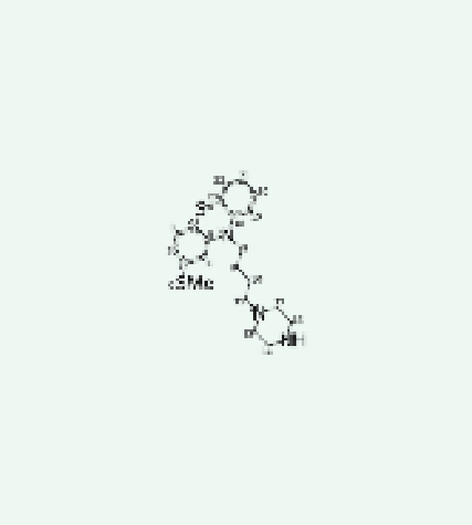 CSc1ccc2c(c1)N(CCCCN1CCNCC1)c1ccccc1S2